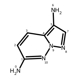 Nc1ccc2c(N)cnn2n1